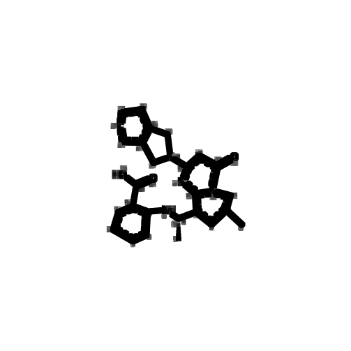 Cc1cc([C@H](C)Nc2ccccc2C(=O)O)c2nc(N3Cc4ccccc4C3)cc(=O)n2c1